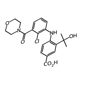 CC(C)(O)c1cc(C(=O)O)ccc1Nc1cccc(C(=O)N2CCOCC2)c1Cl